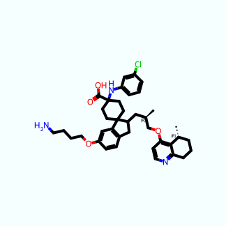 C[C@@H](COc1ccnc2c1[C@H](C)CCC2)CC1Cc2ccc(OCCCCN)cc2C12CCC(Nc1cccc(Cl)c1)(C(=O)O)CC2